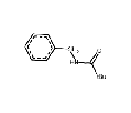 CC(C)(C)C(=O)N[SiH2]c1ccccc1